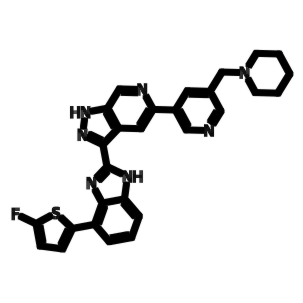 Fc1ccc(-c2cccc3[nH]c(-c4n[nH]c5cnc(-c6cncc(CN7CCCCC7)c6)cc45)nc23)s1